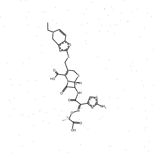 CCN1C=Cc2sc(SCC3=C(C(=O)O)N4C(=O)C(NC(=O)/C(=N\O[C@@H](C)C(=O)O)c5csc(N)n5)[C@H]4SC3)nc2C1